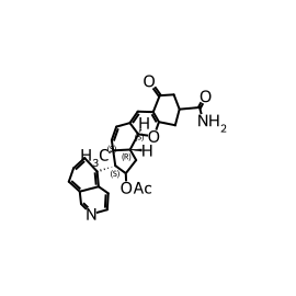 CC(=O)OC1C[C@H]2[C@@H]3OC4=C(C=C3C=C[C@]2(C)[C@H]1c1cccc2cnccc12)C(=O)CC(C(N)=O)C4